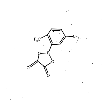 O=C1OB(c2cc(C(F)(F)F)ccc2C(F)(F)F)OC1=O